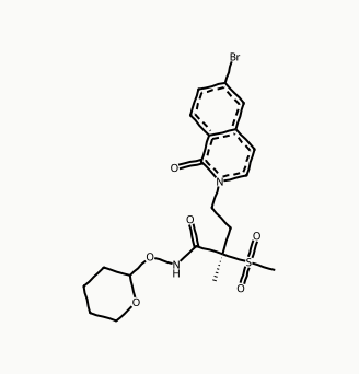 C[C@@](CCn1ccc2cc(Br)ccc2c1=O)(C(=O)NOC1CCCCO1)S(C)(=O)=O